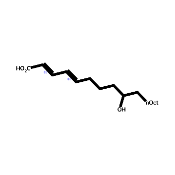 CCCCCCCCCC(O)CCC/C=C/C=C/C(=O)O